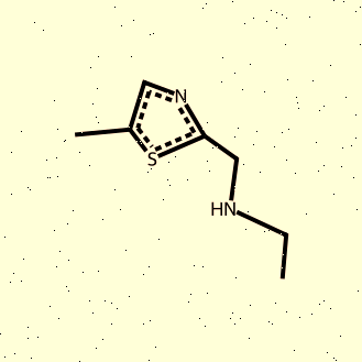 CCNCc1ncc(C)s1